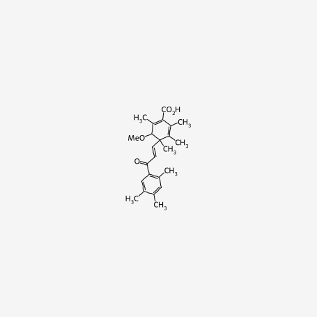 COC1C(C)=C(C(=O)O)C(C)=C(C)C1(C)C=CC(=O)c1cc(C)c(C)cc1C